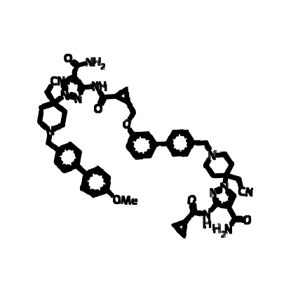 COc1ccc(-c2ccc(CN3CCC(CC#N)(n4cc(C(N)=O)c(NC(=O)C5CC5COc5cccc(-c6ccc(CN7CCC(CC#N)(n8cc(C(N)=O)c(NC(=O)C9CC9)n8)CC7)cc6)c5)n4)CC3)cc2)cc1